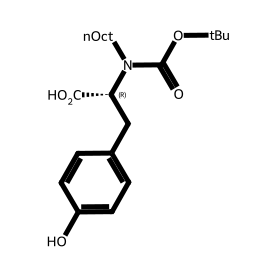 CCCCCCCCN(C(=O)OC(C)(C)C)[C@H](Cc1ccc(O)cc1)C(=O)O